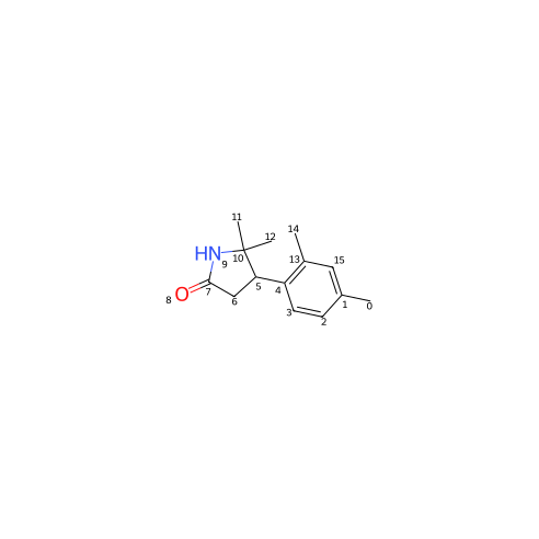 Cc1ccc(C2CC(=O)NC2(C)C)c(C)c1